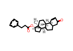 C[C@]12CC[C@H]3[C@@H](CCC4CC(=O)C=C[C@@H]43)[C@@H]1CC[C@@H]2OC(=O)CCc1ccccc1